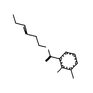 CCC=CCCOC(=O)c1cccc(C)c1O